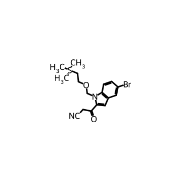 CS(C)(C)CCOCn1c(C(=O)CC#N)cc2cc(Br)ccc21